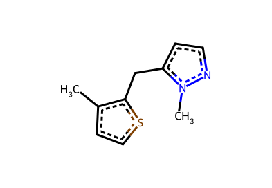 Cc1ccsc1Cc1ccnn1C